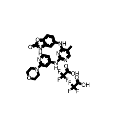 Cc1cnc(Nc2ccnc(N3CCOCC3)c2)nc1Nc1ccc2oc(=O)[nH]c2c1.O=C(O)C(F)(F)F.O=C(O)C(F)(F)F